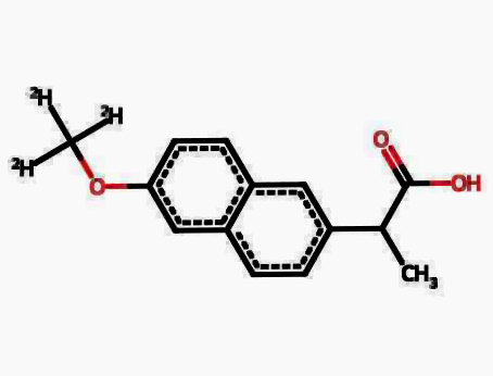 [2H]C([2H])([2H])Oc1ccc2cc(C(C)C(=O)O)ccc2c1